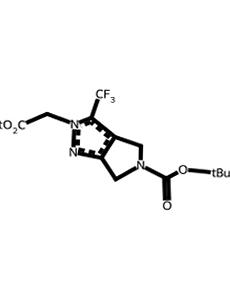 CCOC(=O)Cn1nc2c(c1C(F)(F)F)CN(C(=O)OC(C)(C)C)C2